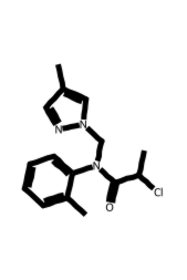 Cc1cnn(CN(C(=O)C(C)Cl)c2ccccc2C)c1